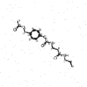 CCCNC(=O)CCNC(=O)Oc1ccc(COC(C)=O)cc1